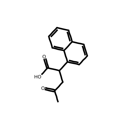 CC(=O)CC(C(=O)O)c1cccc2ccccc12